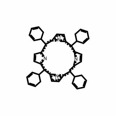 C1=CCC(c2c3nc(c(C4C=CC=CC4)c4ccc([nH]4)c(C4C=CC=CC4)c4nc(c(C5C=CC=CC5)c5ccc2[nH]5)C=C4)C=C3)C=C1